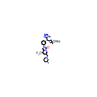 CO[C@]1(C)C[C@H]([C@H](c2cccc(-n3cc4c(C(F)(F)F)cc(CN5CCC[C@H](C)C5)cn4c3=O)c2)c2nncn2C)C1